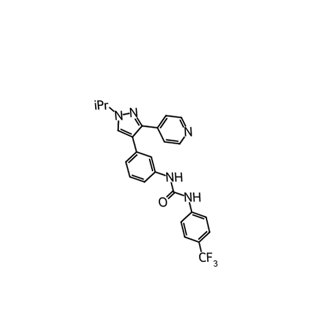 CC(C)n1cc(-c2cccc(NC(=O)Nc3ccc(C(F)(F)F)cc3)c2)c(-c2ccncc2)n1